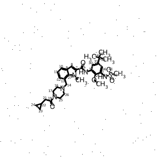 COc1c(NC(=O)c2cc3cccc(CN4CCN(C(=O)CC5CC5)CC4)c3n2C)cc(C(C)(C)C)cc1NS(C)(=O)=O